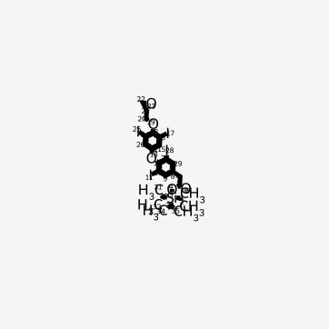 CC(C)[Si](OC(=O)Cc1cc(I)c(Oc2cc(I)c(OCC3CO3)c(I)c2)c(I)c1)(C(C)C)C(C)C